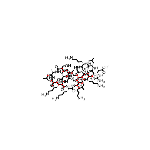 CSCC[C@H](NC(=O)[C@H](CCCCN)NC(=O)[C@H](CCCCN)NC(=O)[C@H](CCC(=O)O)NC(=O)[C@H](CC(C)C)NC(=O)CNC(=O)[C@H](CCCCN)NC(=O)[C@H](CC(C)C)NC(=O)[C@H](C)NC(=O)[C@@H](N)CO)C(=O)N[C@@H](CCCCN)C(=O)N[C@@H](CCC(=O)O)C(=O)N[C@@H](CC(C)C)C(=O)N[C@@H](CCCCN)C(=O)N[C@@H](CCC(N)=O)C(=O)N[C@@H](CCCNC(=N)N)C(=O)N[C@@H](CC(C)C)C(=O)O